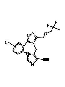 C#Cc1ncn2c1Cn1c(COCC(F)(F)F)nnc1-c1cc(Cl)ccc1-2